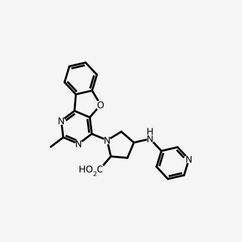 Cc1nc(N2CC(Nc3cccnc3)CC2C(=O)O)c2oc3ccccc3c2n1